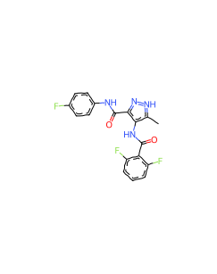 Cc1[nH]nc(C(=O)Nc2ccc(F)cc2)c1NC(=O)c1c(F)cccc1F